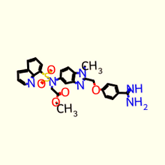 COC(=O)CN(c1ccc2c(c1)nc(COc1ccc(C(=N)N)cc1)n2C)S(=O)(=O)c1cccc2cccnc12